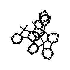 CC1(C)c2ccccc2-c2ccc(N(c3ccccc3)c3cccc4c3C3(c5ccccc5-c5cc6oc7ccccc7c6cc53)c3ccccc3-4)cc21